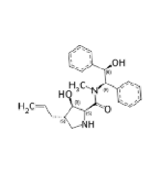 C=CC[C@H]1CN[C@H](C(=O)N(C)[C@H](c2ccccc2)[C@H](O)c2ccccc2)[C@@H]1O